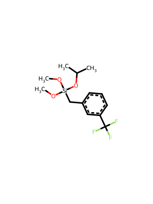 CO[Si](Cc1cccc(C(F)(F)F)c1)(OC)OC(C)C